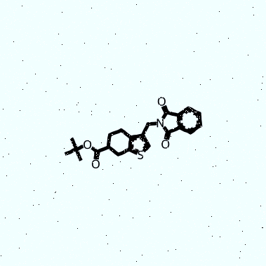 CC(C)(C)OC(=O)C1CCc2c(CN3C(=O)c4ccccc4C3=O)csc2C1